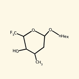 CCCCCCOC1CC(C)C(O)C(C(F)(F)F)O1